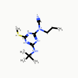 CCCN(C#N)c1nc(NC(C)(C)C)nc(SC)n1